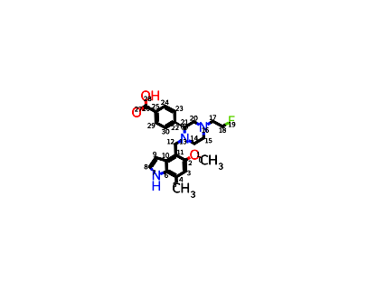 COc1cc(C)c2[nH]ccc2c1CN1CCN(CCF)C[C@@H]1c1ccc(C(=O)O)cc1